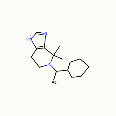 CC(=O)C(C1CCCCC1)N1CCc2[nH]cnc2C1(C)C